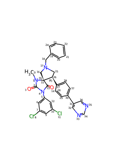 CN1C(=O)N(c2cc(Cl)cc(Cl)c2)C(=O)[C@]12CN(Cc1ccccc1)C[C@H]2c1ccc(-c2cncnc2)cc1